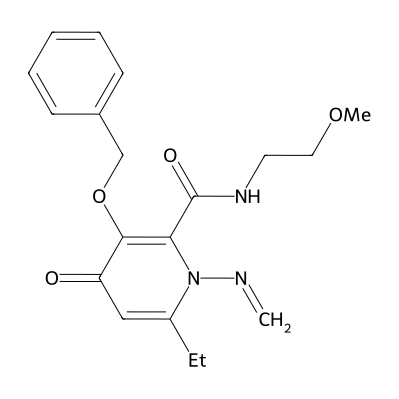 C=Nn1c(CC)cc(=O)c(OCc2ccccc2)c1C(=O)NCCOC